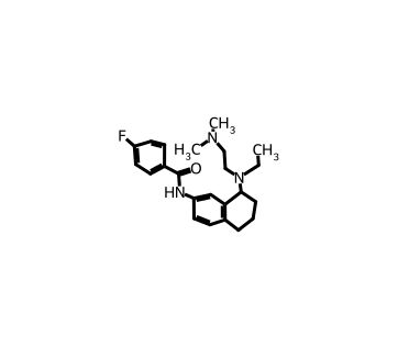 CCN(CCN(C)C)C1CCCc2ccc(NC(=O)c3ccc(F)cc3)cc21